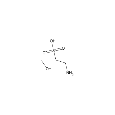 CO.NCCS(=O)(=O)O